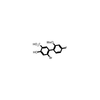 COc1cc(F)ccc1-c1cc(C(=O)O)c(O)cc1Br